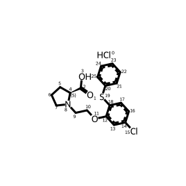 Cl.O=C(O)[C@@H]1CCCN1CCOc1cc(Cl)ccc1Sc1ccccc1